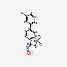 Cc1cccc(-c2ccc3c(c2)C(C)(C)CC3=NO)c1